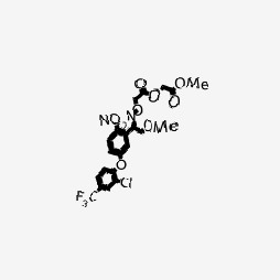 COCC(=NOCC(=O)OCC(=O)OC)c1cc(Oc2ccc(C(F)(F)F)cc2Cl)ccc1[N+](=O)[O-]